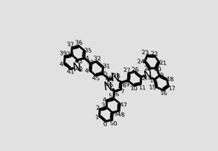 c1ccc2cc(-c3cc(-c4ccc(-n5c6ccccc6c6ccccc65)cc4)nc(-c4ccc(-c5cccc6cccnc56)cc4)n3)ccc2c1